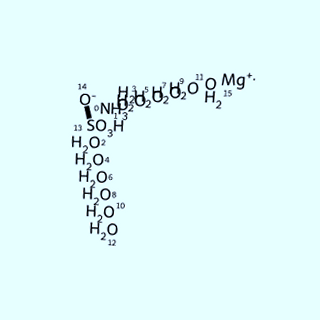 N.O.O.O.O.O.O.O.O.O.O.O.O.O=S(=O)([O-])O.[Mg+]